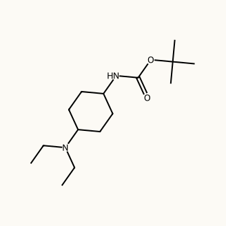 CCN(CC)C1CCC(NC(=O)OC(C)(C)C)CC1